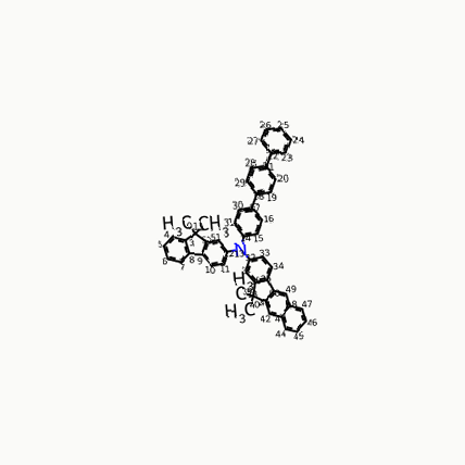 CC1(C)c2ccccc2-c2ccc(N(c3ccc(-c4ccc(-c5ccccc5)cc4)cc3)c3ccc4c(c3)C(C)(C)c3cc5ccccc5cc3-4)cc21